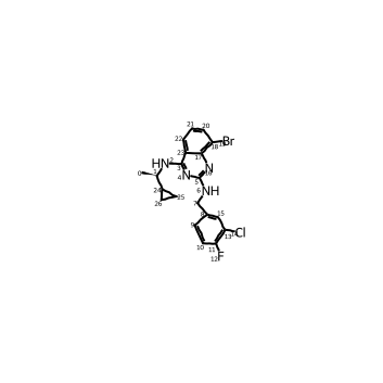 C[C@@H](Nc1nc(NCc2ccc(F)c(Cl)c2)nc2c(Br)cccc12)C1CC1